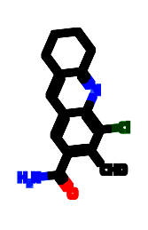 NC(=O)c1cc2cc3c(nc2c(Cl)c1C=O)CCCC3